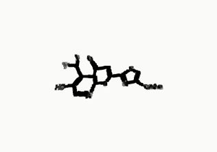 COc1csc(-c2cc(=O)c3c(C(F)F)c(O)cnc3s2)n1